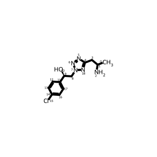 CC(N)Cc1nnn(C[C@H](O)c2ccc(Cl)cc2)n1